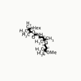 CCCCCCC(C)(C)C(C)OC(=O)NCCC(C)(C)OCCC(C)(C)OC